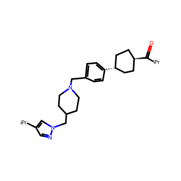 CC(C)c1cnn(CC2CCN(Cc3ccc([C@H]4CC[C@H](C(=O)C(C)C)CC4)cc3)CC2)c1